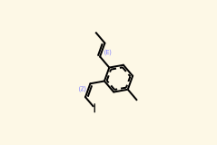 C/C=C/c1ccc(C)cc1/C=C\I